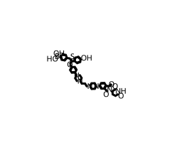 O=C1CCC(N2C(=O)c3ccc(N4CCN(CCCN5CCN(c6ccc(Oc7c(-c8ccc(B(O)O)cc8)sc8cc(O)ccc78)cc6)CC5)CC4)cc3C2=O)C(=O)N1